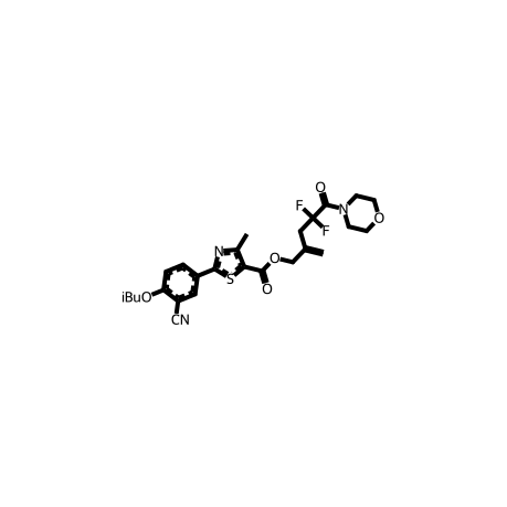 C=C(COC(=O)c1sc(-c2ccc(OCC(C)C)c(C#N)c2)nc1C)CC(F)(F)C(=O)N1CCOCC1